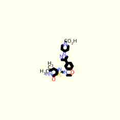 CC1(C)Cc2nc(N3CCOc4ccc(-c5cnn(C6CCN(C(=O)O)CC6)c5)cc43)sc2C(=O)N1